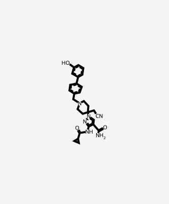 N#CCC1(n2cc(C(N)=O)c(NC(=O)C3CC3)n2)CCN(Cc2ccc(-c3cccc(O)c3)cc2)CC1